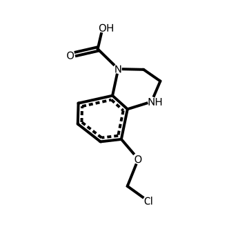 O=C(O)N1CCNc2c(OCCl)cccc21